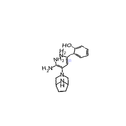 NC(N)=C(/C=C(\N)c1ccccc1O)N1CC2CCC(C1)N2